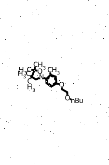 CCCCOCCOc1ccc(N2CC(C)(C)C(C)(C)O2)c(C)c1